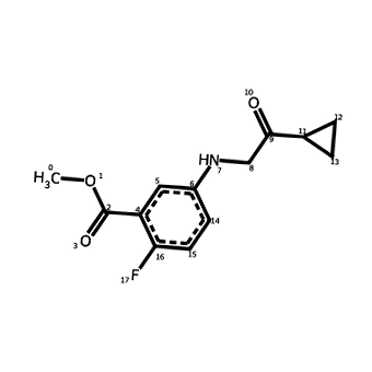 COC(=O)c1cc(NCC(=O)C2CC2)ccc1F